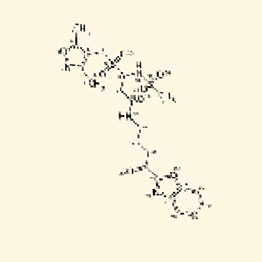 Cc1noc(C)c1CS(=O)(=O)C(CC(=O)NCCCC(=O)c1nc2ccccc2o1)NS(C)(=O)=O